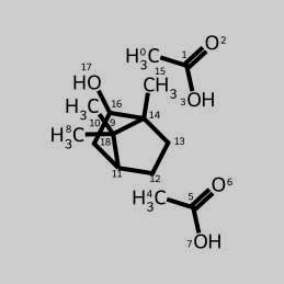 CC(=O)O.CC(=O)O.CC1(C)C2CCC1(C)C(O)C2